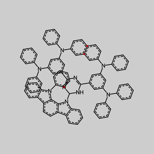 c1ccc(N(c2ccccc2)c2cc(C3=NC(n4c5ccccc5c5ccc6c7ccccc7n(-c7ccccc7)c6c54)NC(c4cc(N(c5ccccc5)c5ccccc5)cc(N(c5ccccc5)c5ccccc5)c4)=N3)cc(N(c3ccccc3)c3ccccc3)c2)cc1